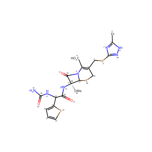 CCc1nc(SCC2=C(C(=O)O)N3C(=O)[C@@](NC(=O)C(NC(N)=O)c4cccs4)(OC)C3SC2)n[nH]1